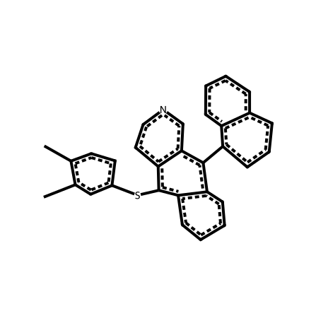 Cc1ccc(Sc2c3ccccc3c(-c3cccc4ccccc34)c3cnccc23)cc1C